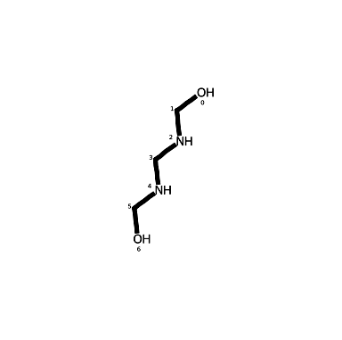 OCNCNCO